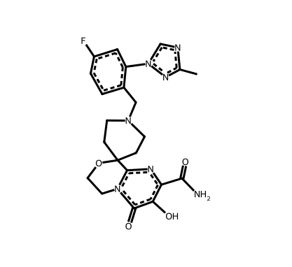 Cc1ncn(-c2cc(F)ccc2CN2CCC3(CC2)OCCn2c3nc(C(N)=O)c(O)c2=O)n1